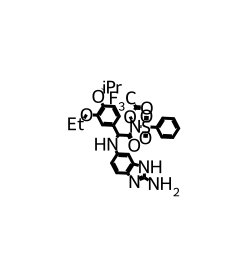 CCOc1cc(C(Nc2ccc3nc(N)[nH]c3c2)C(=O)N(OC(=O)C(F)(F)F)S(=O)(=O)c2ccccc2)ccc1OC(C)C